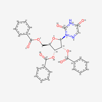 O=C(OC[C@H]1O[C@@H](n2ncc(=O)[nH]c2=O)[C@H](OC(=O)c2ccccc2)[C@@H]1OC(=O)c1ccccc1)c1ccccc1